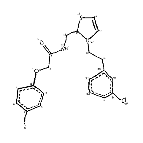 O=C(COc1ccc(I)cc1)NCC1SC=CN1CCc1cccc(Cl)c1